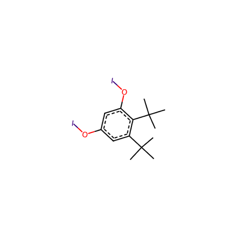 CC(C)(C)c1cc(OI)cc(OI)c1C(C)(C)C